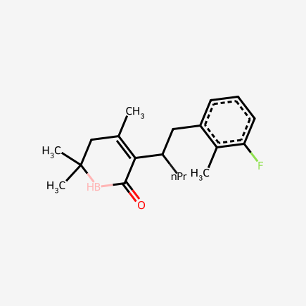 CCCC(Cc1cccc(F)c1C)C1=C(C)CC(C)(C)BC1=O